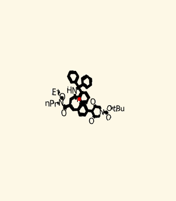 CCCN(OCC)C(=O)C1=Cc2ccc(C3C(=O)CN(C(=O)OC(C)(C)C)CC3=O)cc2N=C(NC(c2ccccc2)(c2ccccc2)c2ccccc2)C1